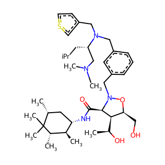 CC(C)C[C@@H](CN(C)C)N(Cc1ccsc1)Cc1cccc(CN2O[C@@H](CO)[C@@H]([C@H](C)O)[C@H]2C(=O)N[C@H]2C[C@@H](C)C(C)(C)[C@@H](C)[C@@H]2C)c1